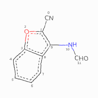 N#Cc1oc2ccccc2c1NC=O